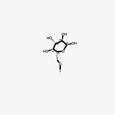 O[C@@H]1[C@@H](O)[C@@H](O)O[C@H](COI)[C@H]1O